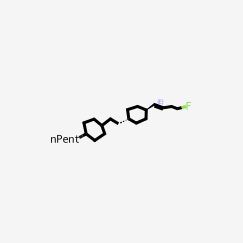 CCCCCC1CCC(CC[C@H]2CC[C@H](/C=C/CCF)CC2)CC1